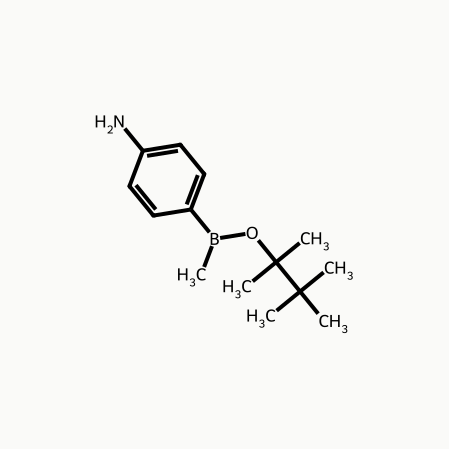 CB(OC(C)(C)C(C)(C)C)c1ccc(N)cc1